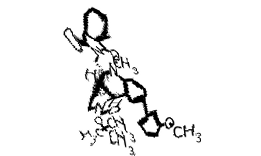 COc1cccc(-c2ccc3c(c2)[C@H]2[C@H](CCN2C(=O)OC(C)(C)C)[C@H](CN2C(=O)c4ccccc4C2=O)N3C)c1